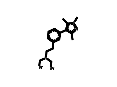 Cc1nn(C)c(C)c1-c1cccc(CCN(CC(C)C)CC(C)C)c1